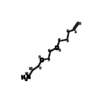 C=CCCCOCCOCCN